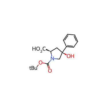 CC(C)(C)OC(=O)N1C[C@@](O)(c2ccccc2)C[C@@H]1C(=O)O